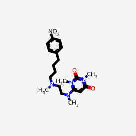 CN(CCCCc1ccc([N+](=O)[O-])cc1)CCN(C)c1cc(=O)n(C)c(=O)n1C